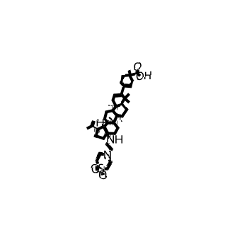 C=C(C)[C@@H]1CC[C@]2(NCCN3CCS(=O)(=O)CC3)CC[C@]3(C)[C@H](CCC4[C@@]5(C)CC=C(C6=CCC(C)(C(=O)O)CC6)C(C)(C)C5CC[C@]43C)C12